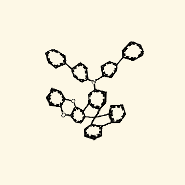 c1ccc(-c2ccc(N(c3ccc(-c4ccccc4)cc3)c3ccc4c(c3)-c3c(ccc5c3Oc3ccccc3O5)C43c4ccccc4-c4ccccc43)cc2)cc1